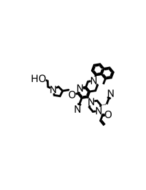 C=CC(=O)N1CCN(c2c(C#N)c(OCC3CCN(CCO)C3)nc3c2CCN(c2cccc4cccc(C)c24)C3)C[C@@H]1CC#N